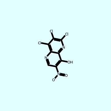 O=[N+]([O-])c1cnc2c(Cl)c(Cl)c(Cl)nc2c1O